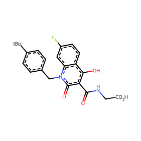 CC(C)(C)c1ccc(Cn2c(=O)c(C(=O)NCC(=O)O)c(O)c3ccc(F)cc32)cc1